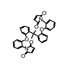 CC(C)(c1ccccc1Oc1ccccc1N1C(=O)C=CC1=O)c1ccccc1Oc1ccccc1N1C(=O)C=CC1=O